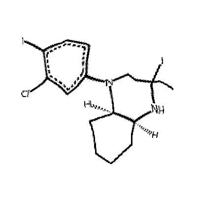 CC1(I)CN(c2ccc(I)c(Cl)c2)[C@@H]2CCCC[C@@H]2N1